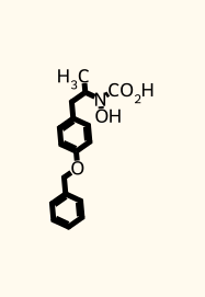 CC(Cc1ccc(OCc2ccccc2)cc1)N(O)C(=O)O